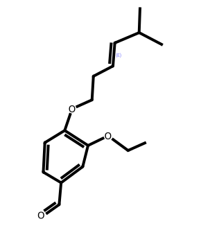 CCOc1cc(C=O)ccc1OCC/C=C/C(C)C